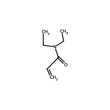 C=[C]C(=O)N(CC)CC